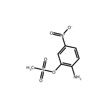 CS(=O)(=O)Oc1cc([N+](=O)[O-])ccc1N